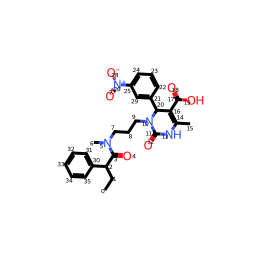 CCC(C(=O)N(C)CCCN1C(=O)NC(C)=C(C(=O)O)C1c1cccc([N+](=O)[O-])c1)c1ccccc1